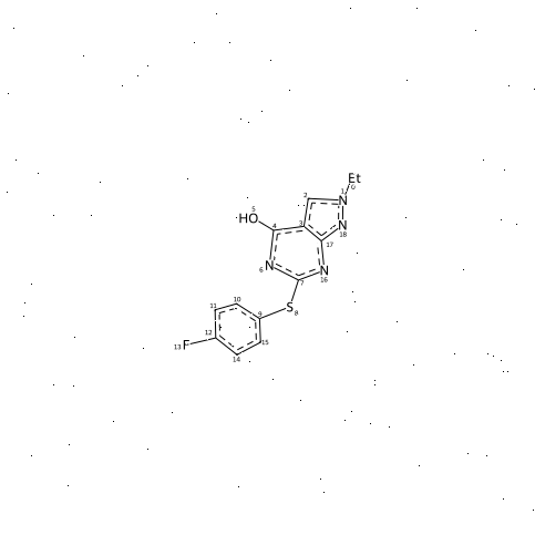 CCn1cc2c(O)nc(Sc3ccc(F)cc3)nc2n1